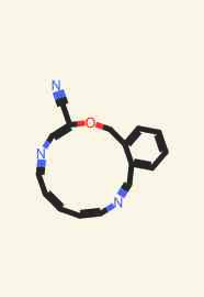 N#CC1=CN=CC=CC=CN=Cc2ccccc2CO1